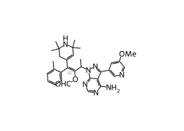 COc1cncc(-c2nn(C(C)/C(OC=O)=C(\C3=CC(C)(C)NC(C)(C)C3)c3ccccc3C)c3ncnc(N)c23)c1